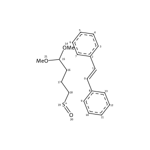 C(=Cc1ccccc1)c1ccccc1.COC(CCC[S+]=O)OC